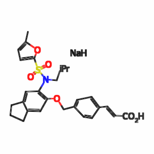 Cc1ccc(S(=O)(=O)N(CC(C)C)c2cc3c(cc2OCc2ccc(C=CC(=O)O)cc2)CCC3)o1.[NaH]